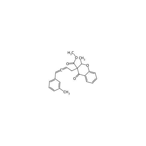 COC(=O)C1(CC=C=Cc2cccc(C)c2)C(=O)c2ccccc2OC1C